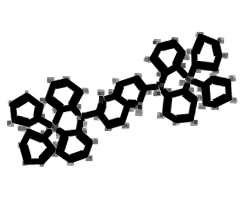 c1ccc([Si]2(c3ccccc3)c3ccccc3N(c3ccc4nc(N5c6ccccc6[Si](c6ccccc6)(c6ccccc6)c6ccccc65)ccc4n3)c3ccccc32)cc1